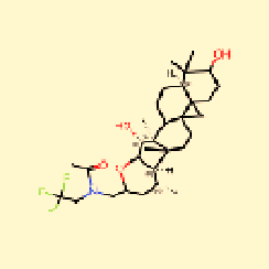 CC(=O)N(CC1C[C@@H](C)[C@H]2C(O1)[C@H](O)[C@@]1(C)C3CC[C@H]4C(C)(C)C(O)CCC45CC35CCC21C)CC(F)(F)F